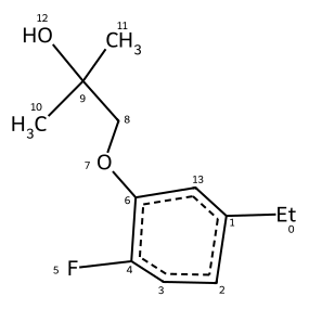 CCc1ccc(F)c(OCC(C)(C)O)c1